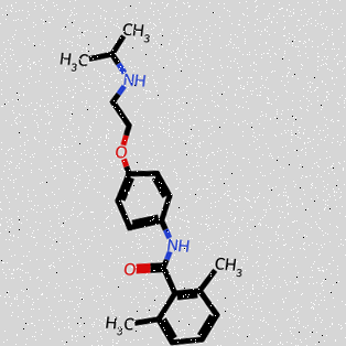 Cc1cccc(C)c1C(=O)Nc1ccc(OCCNC(C)C)cc1